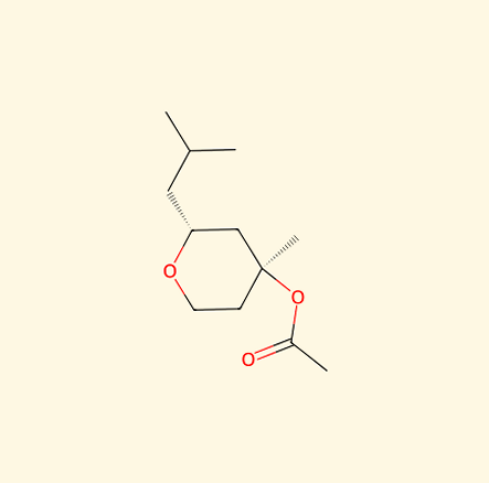 CC(=O)O[C@@]1(C)CCO[C@H](CC(C)C)C1